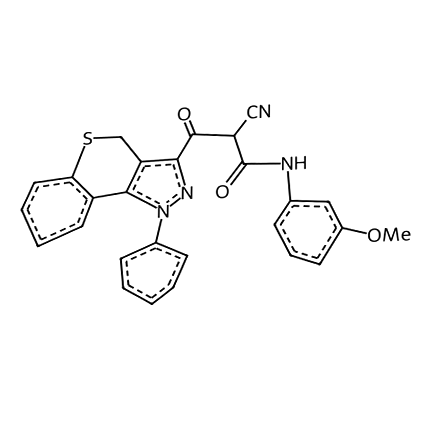 COc1cccc(NC(=O)C(C#N)C(=O)c2nn(-c3ccccc3)c3c2CSc2ccccc2-3)c1